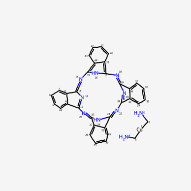 N[CH2][Cu][CH2]N.c1ccc2c(c1)-c1nc-2nc2[nH]c(nc3nc(nc4[nH]c(n1)c1ccccc41)-c1ccccc1-3)c1ccccc21